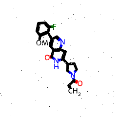 C=CC(=O)N1CCC(c2cc3ncc(-c4c(F)cccc4OC)cc3c(=O)[nH]2)C1